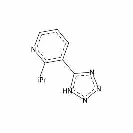 CC(C)c1ncccc1-c1nnn[nH]1